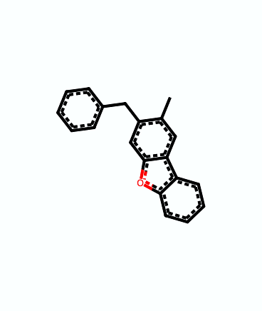 Cc1cc2c(cc1Cc1ccccc1)oc1ccccc12